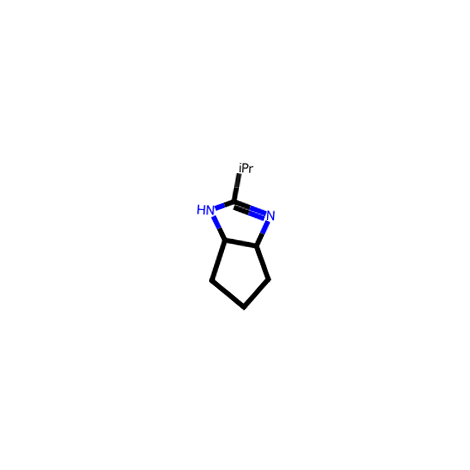 CC(C)C1=NC2CCCC2N1